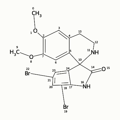 COc1cc2c(cc1OC)C1(NCC2)C(=O)Nc2c(Br)cc(Br)cc21